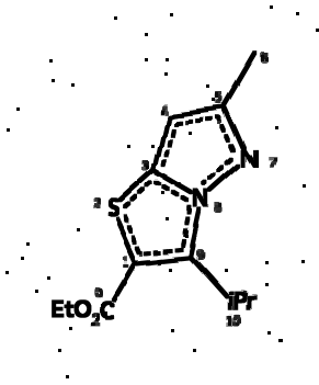 CCOC(=O)c1sc2cc(C)nn2c1C(C)C